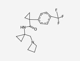 O=C(NC1(CN2CCC2)CC1)C1(c2ccc(C(F)(F)F)cc2)CC1